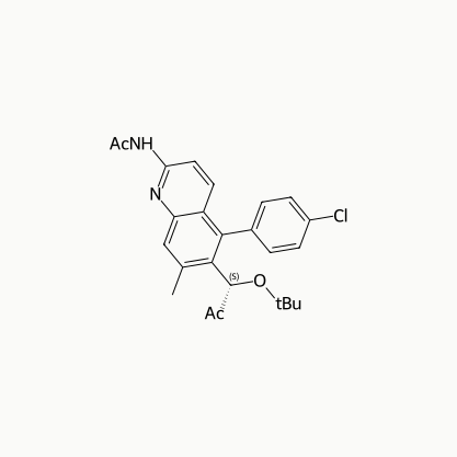 CC(=O)Nc1ccc2c(-c3ccc(Cl)cc3)c([C@H](OC(C)(C)C)C(C)=O)c(C)cc2n1